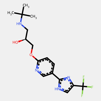 CC(C)(C)NC[C@H](O)COc1ccc(-c2nc(C(F)(F)F)c[nH]2)cn1